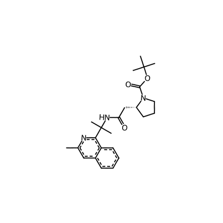 Cc1cc2ccccc2c(C(C)(C)NC(=O)C[C@H]2CCCN2C(=O)OC(C)(C)C)n1